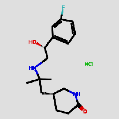 CC(C)(C[C@H]1CCC(=O)NC1)NC[C@H](O)c1cccc(F)c1.Cl